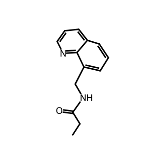 CCC(=O)NCc1cccc2cccnc12